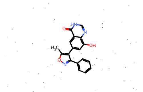 Cc1onc(-c2ccccc2)c1-c1cc(O)c2nc[nH]c(=O)c2c1